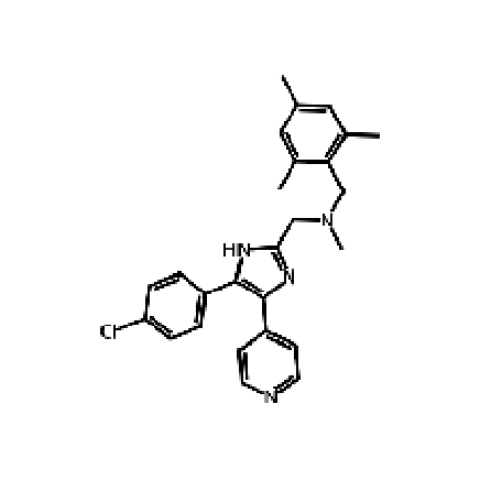 Cc1cc(C)c(CN(C)Cc2nc(-c3ccncc3)c(-c3ccc(Cl)cc3)[nH]2)c(C)c1